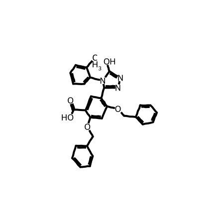 Cc1ccccc1-n1c(O)nnc1-c1cc(C(=O)O)c(OCc2ccccc2)cc1OCc1ccccc1